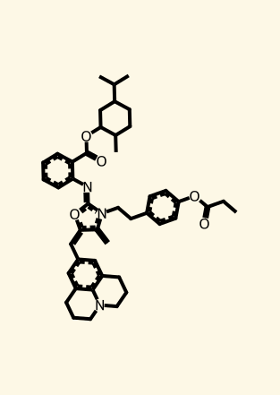 C=c1/c(=C\c2cc3c4c(c2)CCCN4CCC3)o/c(=N\c2ccccc2C(=O)OC2CC(C(C)C)CCC2C)n1CCc1ccc(OC(=O)CC)cc1